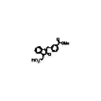 CCOC(=O)/C=C1/C(=O)N(Cc2cccc(C(=O)OC)c2)c2ccccc21